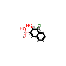 OB(O)c1cc2ccccc2c(Cl)c1O